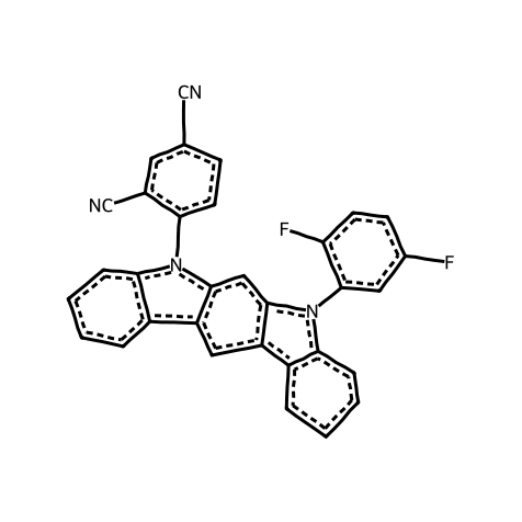 N#Cc1ccc(-n2c3ccccc3c3cc4c5ccccc5n(-c5cc(F)ccc5F)c4cc32)c(C#N)c1